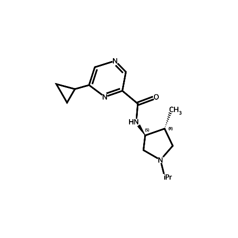 CC(C)N1C[C@@H](C)[C@H](NC(=O)c2cncc(C3CC3)n2)C1